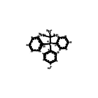 [2H]C([2H])([2H])[P+](c1ccccc1)(c1ccccc1)c1ccccc1.[I-]